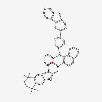 CC1(C)CCC(C)(C)c2cc3c(cc21)oc1cc(-c2ccc4ccccc4c2N(c2ccccc2)c2ccc(-c4ccc5sc6ccccc6c5c4)cc2)ccc13